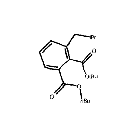 CCCCOC(=O)c1cccc(CC(C)C)c1C(=O)OCC(C)C